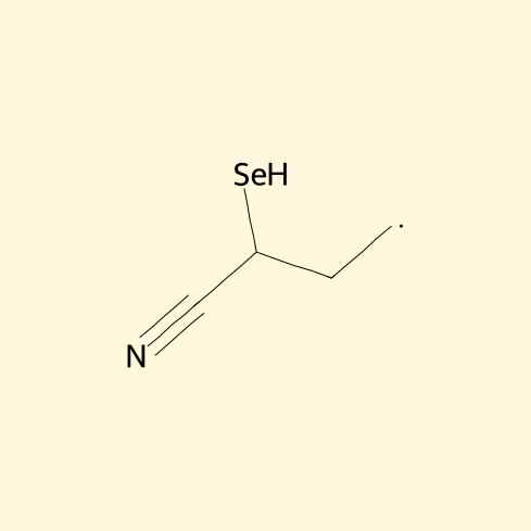 [CH2]CC([SeH])C#N